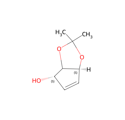 CC1(C)OC2[C@H](C=C[C@@H]2O)O1